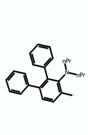 [CH2]c1ccc(-c2ccccc2)c(-c2ccccc2)c1N(CCC)CCC